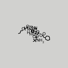 CCCCOC(C)(C)C(=O)Nc1ncnn2c([C@]3(C#N)O[C@H](COC(=O)CC4CCCCCC4)[C@@H](OC(=O)[C@H](N)C(C)(C)C)[C@H]3O)ccc12